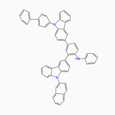 c1ccc(Nc2ccc(-c3ccc4c(c3)c3ccccc3n4-c3ccc(-c4ccccc4)cc3)cc2-c2ccc3c(c2)c2ccccc2n3-c2ccc3ccccc3c2)cc1